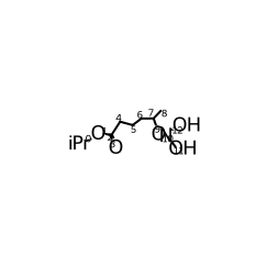 CC(C)OC(=O)CCCC(C)ON(O)O